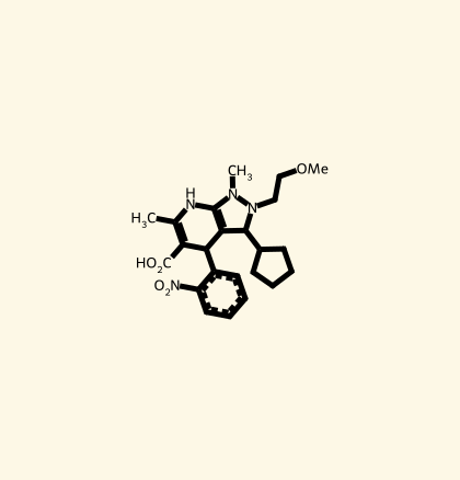 COCCN1C(C2CCCC2)C2=C(NC(C)=C(C(=O)O)C2c2ccccc2[N+](=O)[O-])N1C